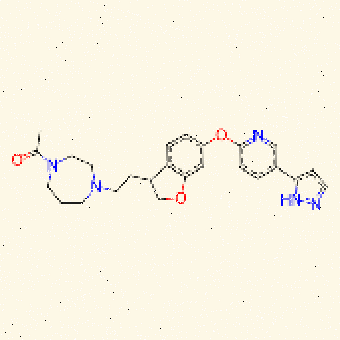 CC(=O)N1CCCN(CCC2COc3cc(Oc4ccc(-c5ccn[nH]5)cn4)ccc32)CC1